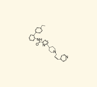 CCc1ccc(-c2ccccc2NC(=O)c2csc(C3CCN(C/C=C\c4ccncc4)CC3)n2)cc1